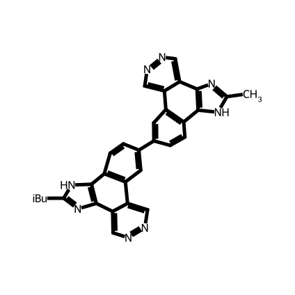 CCC(C)c1nc2c3cnncc3c3cc(-c4ccc5c(c4)c4cnncc4c4nc(C)[nH]c54)ccc3c2[nH]1